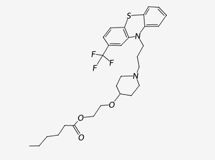 CCCCCC(=O)OCCOC1CCN(CCCN2c3ccccc3Sc3ccc(C(F)(F)F)cc32)CC1